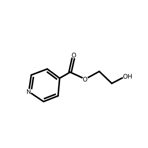 O=C(OCCO)c1ccncc1